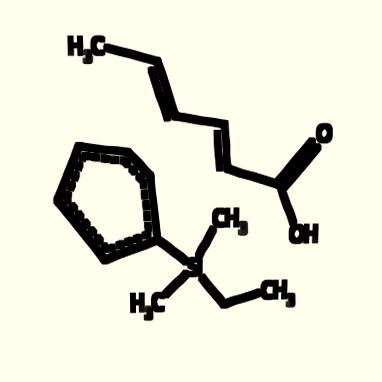 C/C=C/C=C/C(=O)O.CC[Si](C)(C)c1ccccc1